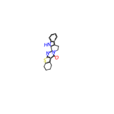 O=c1c2c3c(sc2nc2n1CCc1c-2[nH]c2ccccc12)CCCC3